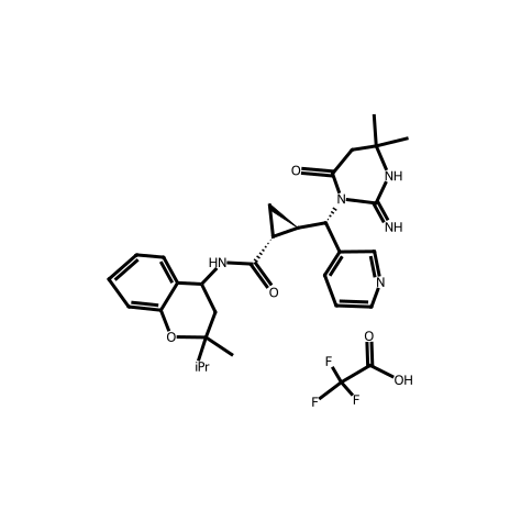 CC(C)C1(C)CC(NC(=O)[C@@H]2C[C@H]2[C@@H](c2cccnc2)N2C(=N)NC(C)(C)CC2=O)c2ccccc2O1.O=C(O)C(F)(F)F